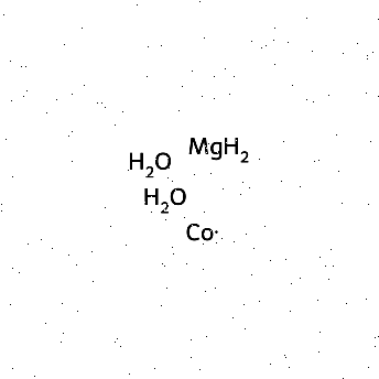 O.O.[Co].[MgH2]